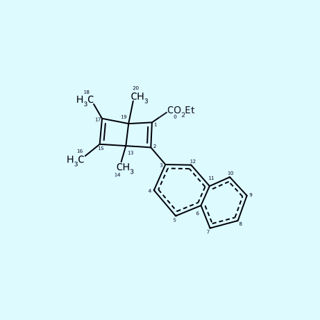 CCOC(=O)C1=C(c2ccc3ccccc3c2)C2(C)C(C)=C(C)C12C